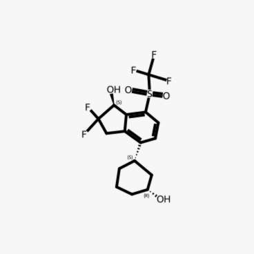 O=S(=O)(c1ccc([C@H]2CCC[C@@H](O)C2)c2c1[C@H](O)C(F)(F)C2)C(F)(F)F